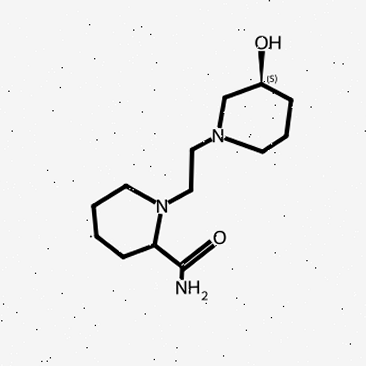 NC(=O)C1C[CH]CCN1CCN1CCC[C@H](O)C1